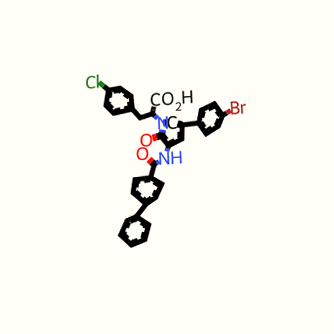 O=C(Nc1cc(-c2ccc(Br)cc2)cn(C(Cc2ccc(Cl)cc2)C(=O)O)c1=O)c1ccc(-c2ccccc2)cc1